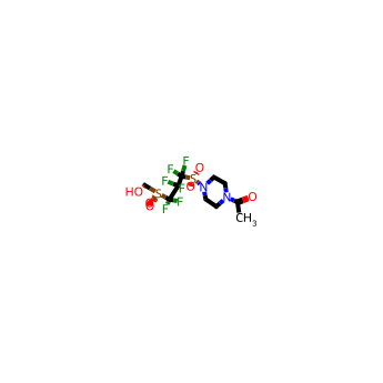 CC(=O)N1CCN(S(=O)(=O)C(F)(F)C(F)(F)C(F)(F)S(=O)(=O)CO)CC1